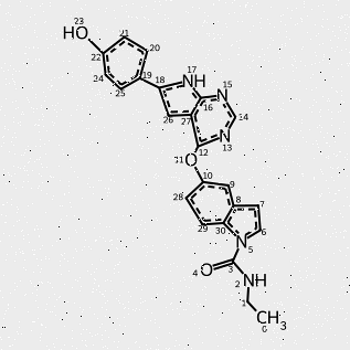 CCNC(=O)n1ccc2cc(Oc3ncnc4[nH]c(-c5ccc(O)cc5)cc34)ccc21